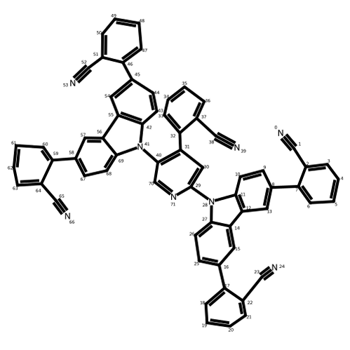 N#Cc1ccccc1-c1ccc2c(c1)c1cc(-c3ccccc3C#N)ccc1n2-c1cc(-c2ccccc2C#N)c(-n2c3ccc(-c4ccccc4C#N)cc3c3cc(-c4ccccc4C#N)ccc32)cn1